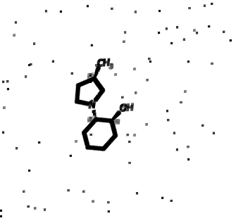 C[C@@H]1CCN([C@H]2CCCC[C@@H]2O)C1